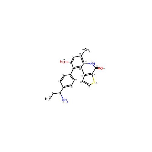 CCC(N)c1ccc(-c2c(O)cc(C)c3[nH]c(=O)c4sccc4c23)cc1